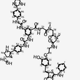 CCOC(=O)C1=C(Nc2ccccc2)S/C(=C\c2ccc(OCCNC(=O)CN(C)C(=O)CN(C)C(=O)CNC(=O)c3cc(NC(=O)Nc4ccc(C5=NCCN5)cc4)cc(NC(=O)Nc4ccc(C5=NCCN5)cc4)c3)c(O)c2)C1=O.O=CO